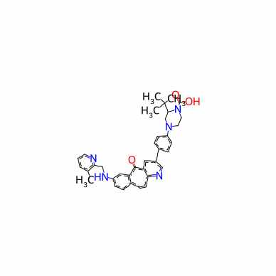 Cc1cccnc1CNc1ccc2ccc3ncc(-c4ccc(N5CCN(C(=O)O)C(C(C)(C)C)C5)cc4)cc3c(=O)c2c1